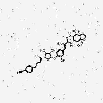 CC(=Cc1ccc(O[C@@H]2O[C@H](C(C)=CCOc3ccc(C#N)cc3)[C@@H](O)[C@@H]2O)c(O)c1)C(=O)N[C@@H]1[C@H](O)[C@@H](O)[C@H]2OCO[C@H]2[C@@H]1O